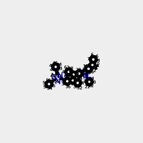 CC1(C)c2ccccc2-c2cc3c4cc5c(cc4n(-c4ccccc4)c3cc21)C1(c2ccccc2-c2ccc(-c3nc(-c4ccccc4)nc(-c4ccccc4)n3)cc21)c1ccccc1-5